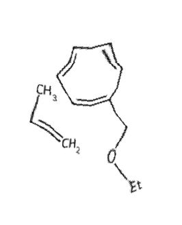 C=CC.CCOCc1ccccc1